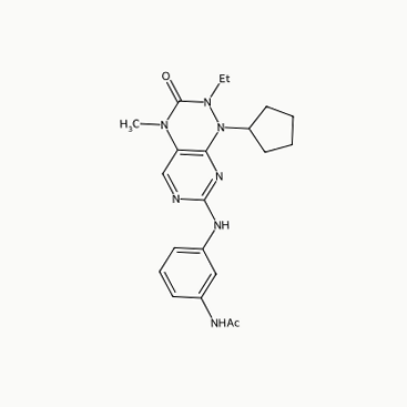 CCN1C(=O)N(C)c2cnc(Nc3cccc(NC(C)=O)c3)nc2N1C1CCCC1